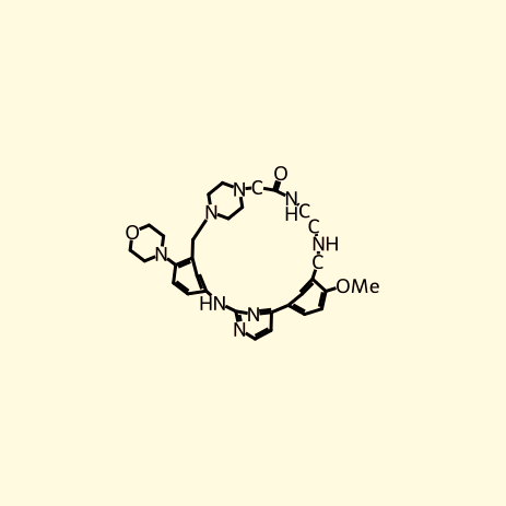 COc1ccc2cc1CNCCNC(=O)CN1CCN(CC1)Cc1cc(ccc1N1CCOCC1)Nc1nccc-2n1